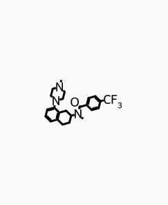 CN1CCN(c2cccc3c2CC(N(C)C(=O)c2ccc(C(F)(F)F)cc2)CC3)CC1